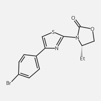 CC[C@H]1COC(=O)N1c1nc(-c2ccc(Br)cc2)cs1